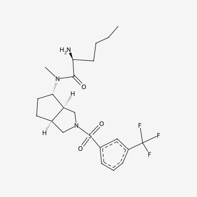 CCCC[C@H](N)C(=O)N(C)[C@H]1CC[C@@H]2CN(S(=O)(=O)c3cccc(C(F)(F)F)c3)C[C@@H]21